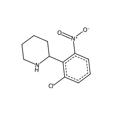 O=[N+]([O-])c1cccc(Cl)c1C1CCCCN1